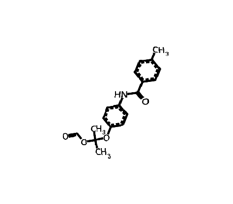 Cc1ccc(C(=O)Nc2ccc(OC(C)(C)OC=O)cc2)cc1